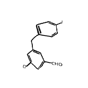 O=Cc1cc(Cl)cc(Cc2ccc(F)cc2)c1